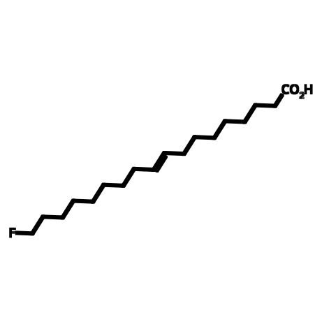 O=C(O)CCCCCCCC=CCCCCCCCCF